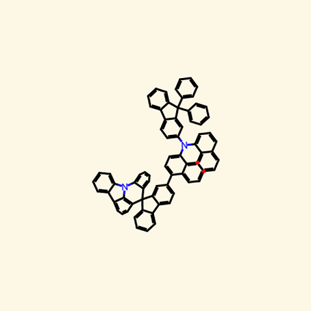 c1ccc(C2(c3ccccc3)c3ccccc3-c3ccc(N(c4cccc5ccccc45)c4ccc(-c5ccc6c(c5)C5(c7ccccc7-6)c6ccccc6-n6c7ccccc7c7cccc5c76)c5ccccc45)cc32)cc1